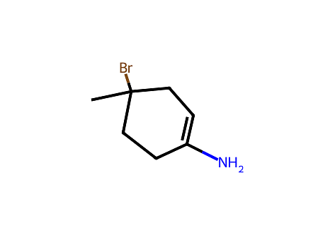 CC1(Br)CC=C(N)CC1